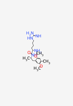 COc1cc(CC(C)NC(=O)C(N)CCCCNC(=N)N)c(OC)cc1C